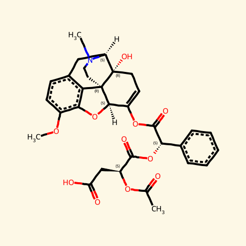 COc1ccc2c3c1O[C@@H]1C(OC(=O)[C@@H](OC(=O)[C@H](CC(=O)O)OC(C)=O)c4ccccc4)=CC[C@]4(O)[C@H](C2)N(C)CC[C@@]314